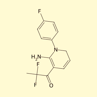 CC(F)(F)C(=O)C1=C(N)N(c2ccc(F)cc2)CC=C1